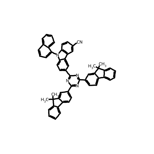 CC1(C)c2ccccc2-c2ccc(-c3nc(-c4ccc5c(c4)C(C)(C)c4ccccc4-5)nc(-c4ccc5c(c4)c4cc(C#N)ccc4n5-c4cccc5ccccc45)n3)cc21